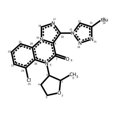 CC1OCCC1n1c(=O)c2c(-n3cc(C(C)(C)C)nn3)ncn2c2cccc(Cl)c21